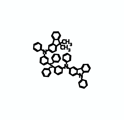 CC1(C)c2ccccc2-c2cc(N(c3ccccc3)c3cccc(S(c4ccccc4)(c4ccccc4)c4cccc(N(c5ccccc5)c5ccc6c(c5)c5ccccc5n6-c5ccccc5)c4)c3)ccc21